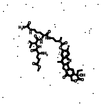 CC[C@@]1(O)C(=O)OCc2c1cc1n(c2=O)Cc2c-1nc1cc(F)c(OC(=O)N(C)CCNC(=O)C(CCCNC(N)=O)NC(=O)C(NC(=O)C(N)CCC(=O)OC)C(C)C)cc1c2C